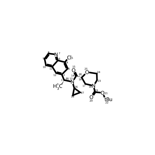 C[C@H](c1cc(Cl)c2ncccc2c1)N(C(=O)[C@H]1CN(C(=O)OC(C)(C)C)CCO1)C1CC1